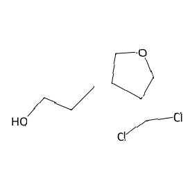 C1CCOC1.CCCO.ClCCl